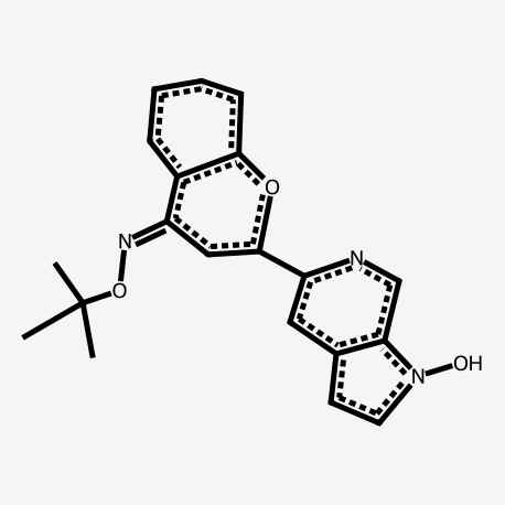 CC(C)(C)ON=c1cc(-c2cc3ccn(O)c3cn2)oc2ccccc12